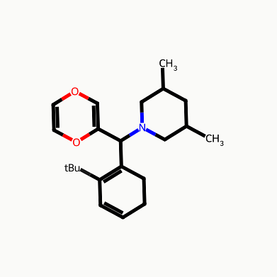 CC1CC(C)CN(C(C2=COC=CO2)C2=C(C(C)(C)C)C=CCC2)C1